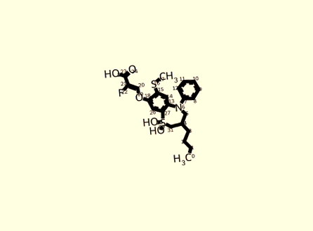 CCCCC1CN(c2ccccc2)c2cc(SC)c(O/C=C(\F)C(=O)O)cc2S(O)(O)C1